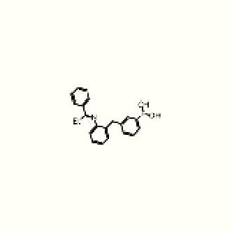 CC/C(=N\c1ccccc1Cc1cccc(B(O)O)c1)c1ccccc1